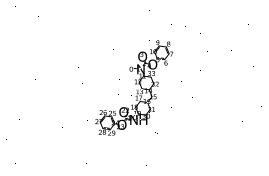 CN(C(=O)Oc1ccccc1)C1CCC(CC2CCC(NC(=O)Oc3ccccc3)CC2)CC1